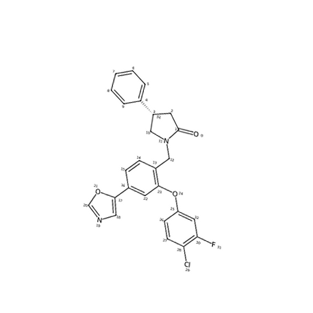 O=C1C[C@@H](c2ccccc2)CN1Cc1ccc(-c2cnco2)cc1Oc1ccc(Cl)c(F)c1